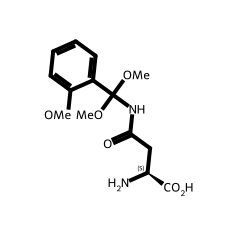 COc1ccccc1C(NC(=O)C[C@H](N)C(=O)O)(OC)OC